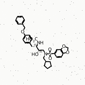 O=C(O)N[C@@H](Cc1ccc(OCc2ccccc2)cc1)[C@@H](O)CN(CC1CCCC1)S(=O)(=O)c1ccc2c(c1)OCO2